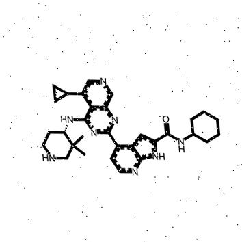 CC1(C)CNCC[C@@H]1Nc1nc(-c2ccnc3[nH]c(C(=O)NC4CCCCC4)cc23)nc2cncc(C3CC3)c12